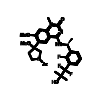 COc1cc2c(cc1C1(OC)CCN(C(C)=O)C1)c(N[C@H](C)c1cccc(C(F)(F)C(C)(C)O)c1F)nc(=O)n2C